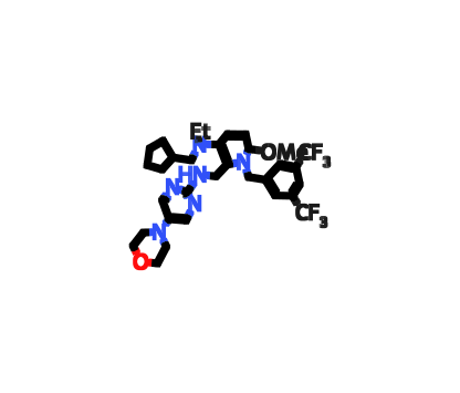 CCN(CC1CCCC1)C1=C(CNc2ncc(N3CCOCC3)cn2)N(Cc2cc(C(F)(F)F)cc(C(F)(F)F)c2)C(OC)C=C1